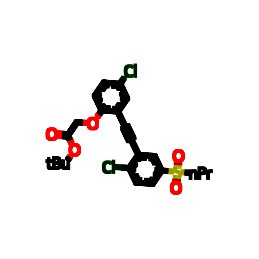 CCCS(=O)(=O)c1ccc(Cl)c(C#Cc2cc(Cl)ccc2OCC(=O)OC(C)(C)C)c1